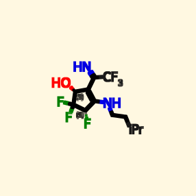 CC(C)CCNC1=C(C(=N)C(F)(F)F)[C@H](O)C(F)(F)[C@H]1F